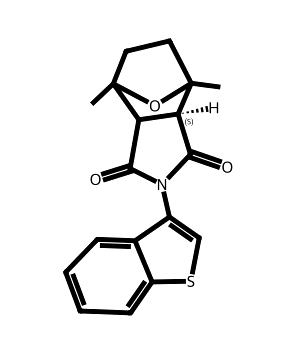 CC12CCC(C)(O1)[C@H]1C(=O)N(c3csc4ccccc34)C(=O)C12